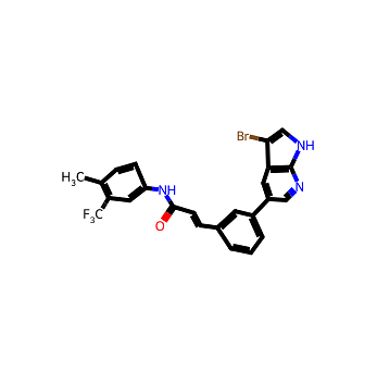 Cc1ccc(NC(=O)C=Cc2cccc(-c3cnc4[nH]cc(Br)c4c3)c2)cc1C(F)(F)F